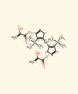 C=C(O)C(=O)[O-].C=C(O)C(=O)[O-].C[Si](C)(C)C1=[C]([Hf+2][C]2=C([Si](C)(C)C)C=CC2)CC=C1